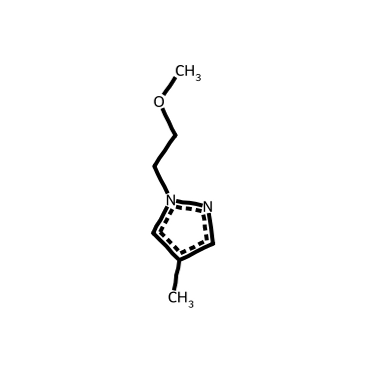 COCCn1cc(C)cn1